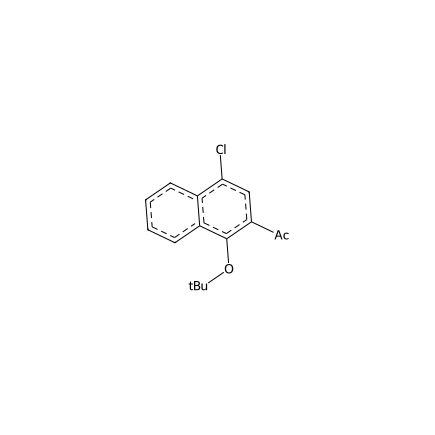 CC(=O)c1cc(Cl)c2ccccc2c1OC(C)(C)C